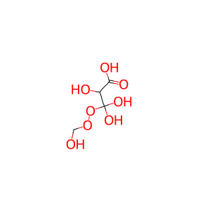 O=C(O)C(O)C(O)(O)OOCO